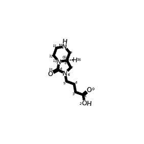 O=C(O)CCCN1C[C@@H]2CNCCN2C1=O